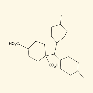 CC1CCC(C(C2CCC(C)CC2)C2(C(=O)O)CCC(C(=O)O)CC2)CC1